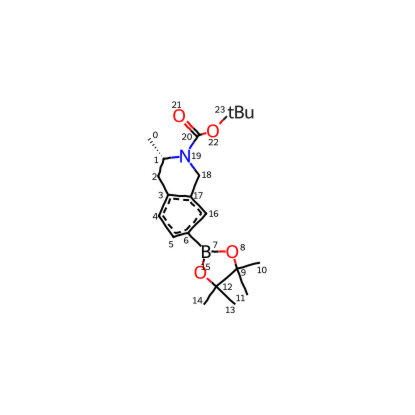 C[C@H]1Cc2ccc(B3OC(C)(C)C(C)(C)O3)cc2CN1C(=O)OC(C)(C)C